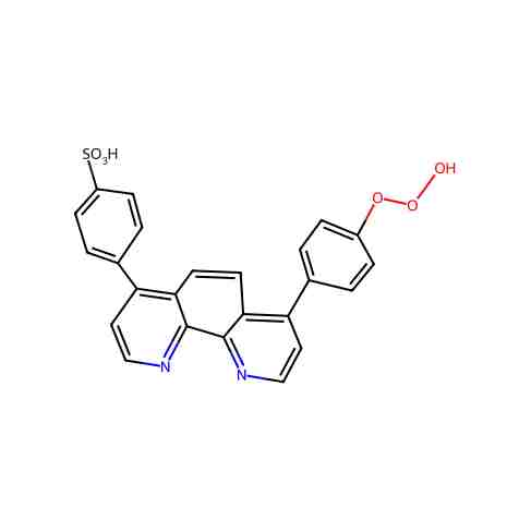 O=S(=O)(O)c1ccc(-c2ccnc3c2ccc2c(-c4ccc(OOO)cc4)ccnc23)cc1